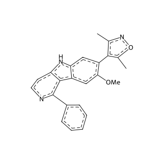 COc1cc2c(cc1-c1c(C)noc1C)[nH]c1ccnc(-c3ccccc3)c12